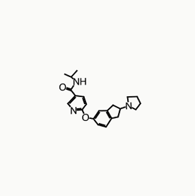 CC(C)NC(=O)c1ccc(Oc2ccc3c(c2)CC(N2CCCC2)C3)nc1